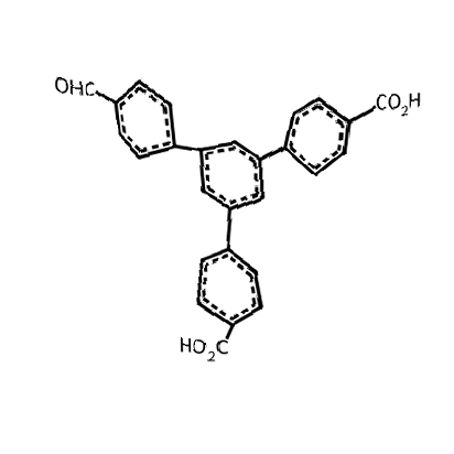 O=Cc1ccc(-c2cc(-c3ccc(C(=O)O)cc3)cc(-c3ccc(C(=O)O)cc3)c2)cc1